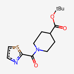 CC(C)(C)OC(=O)C1CCN(C(=O)c2nccs2)CC1